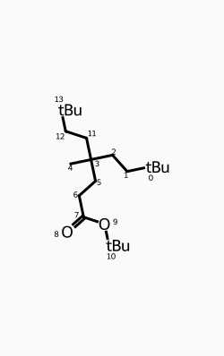 CC(C)(C)CCC(C)(CCC(=O)OC(C)(C)C)CCC(C)(C)C